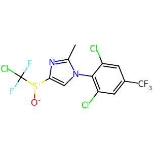 Cc1nc([S+]([O-])C(F)(F)Cl)cn1-c1c(Cl)cc(C(F)(F)F)cc1Cl